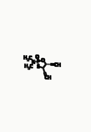 C#CC1OP(=O)(N(C)C)SC1C#C